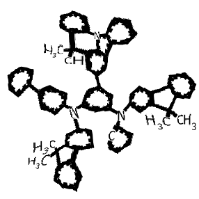 CC1(C)c2ccccc2-c2ccc(N(c3ccccc3)c3cc(-c4cc5c6c(c4)c4ccccc4n6-c4ccccc4C5(C)C)cc(N(c4ccc(-c5ccccc5)cc4)c4ccc5c(c4)C(C)(C)c4ccccc4-5)c3)cc21